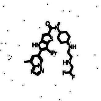 Cc1cc(-c2[nH]c3cc(C(=O)N(C)C4CCC(NCCNCC(F)F)CC4)sc3c2C(C)C)cn2ncnc12